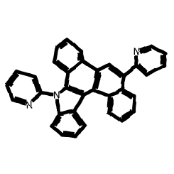 c1ccc(-c2cc3c4ccccc4c4c(c5ccccc5n4-c4ccccn4)c3c3ccccc23)nc1